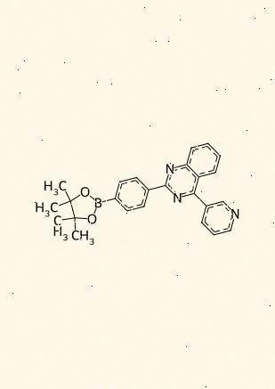 CC1(C)OB(c2ccc(-c3nc(-c4cccnc4)c4ccccc4n3)cc2)OC1(C)C